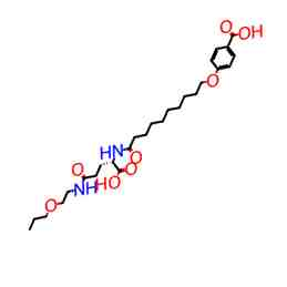 CCCOCCNC(=O)CC[C@H](NC(=O)CCCCCCCCCOc1ccc(C(=O)O)cc1)C(=O)O